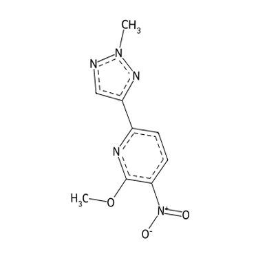 COc1nc(-c2cnn(C)n2)ccc1[N+](=O)[O-]